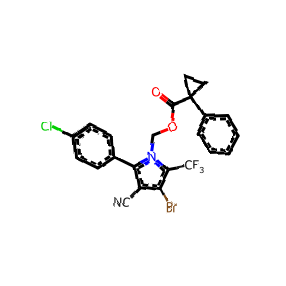 N#Cc1c(Br)c(C(F)(F)F)n(COC(=O)C2(c3ccccc3)CC2)c1-c1ccc(Cl)cc1